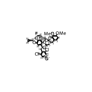 COc1ccc(CN(CC(=O)O[C@@H](Cc2c(Cl)c[n+]([O-])cc2Cl)c2ccc(OC(F)F)c(OCC3CC3)c2)C(=O)OC(C)(C)C)cc1OC